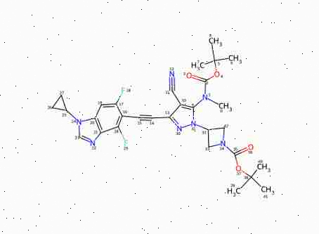 CN(C(=O)OC(C)(C)C)c1c(C#N)c(C#Cc2c(F)cc3c(ncn3C3CC3)c2F)nn1C1CN(C(=O)OC(C)(C)C)C1